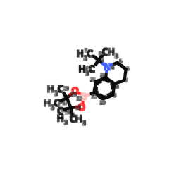 CC(C)(C)N1CCCc2ccc(B3OC(C)(C)C(C)(C)O3)cc21